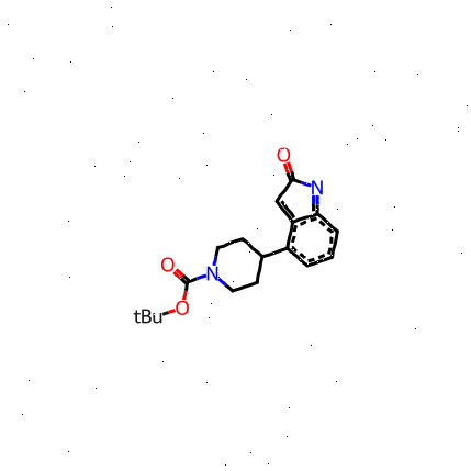 CC(C)(C)OC(=O)N1CCC(c2cccc3c2=CC(=O)N=3)CC1